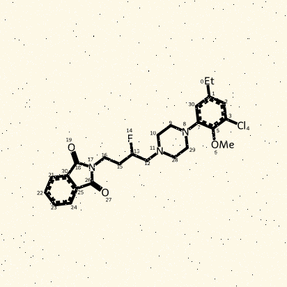 CCc1cc(Cl)c(OC)c(N2CCN(CC(F)CCN3C(=O)c4ccccc4C3=O)CC2)c1